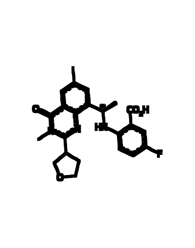 Cc1cc([C@@H](C)Nc2ccc(F)cc2C(=O)O)c2nc(C3CCOC3)n(C)c(=O)c2c1